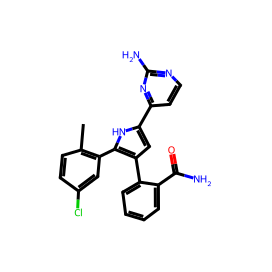 Cc1ccc(Cl)cc1-c1[nH]c(-c2ccnc(N)n2)cc1-c1ccccc1C(N)=O